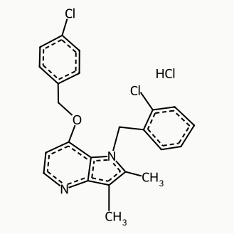 Cc1c(C)n(Cc2ccccc2Cl)c2c(OCc3ccc(Cl)cc3)ccnc12.Cl